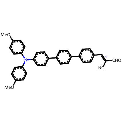 COc1ccc(N(c2ccc(OC)cc2)c2ccc(-c3ccc(-c4ccc(/C=C(\C#N)C=O)cc4)cc3)cc2)cc1